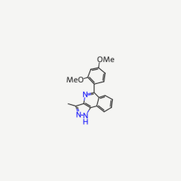 COc1ccc(-c2nc3c(C)n[nH]c3c3ccccc23)c(OC)c1